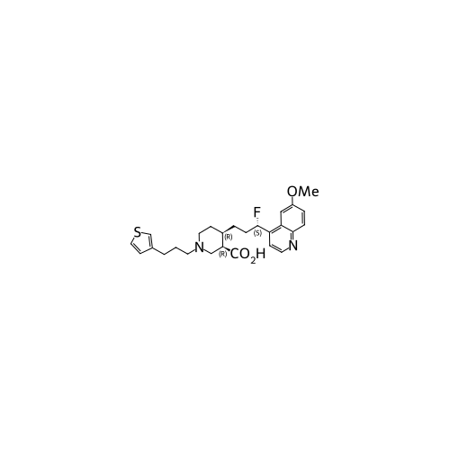 COc1ccc2nccc([C@@H](F)CC[C@@H]3CCN(CCCc4ccsc4)C[C@@H]3C(=O)O)c2c1